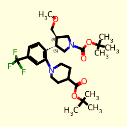 COC[C@H]1CN(C(=O)OC(C)(C)C)C[C@@H]1c1ccc(C(F)(F)F)cc1N1CCC(C(=O)OC(C)(C)C)CC1